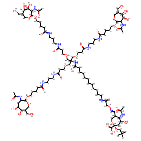 CC(=O)NC1CC(O)[C@H](O)C(CO)CO[C@@H]1OCCCCC(=O)NCCCNC(=O)CCOCC(COCCC(=O)NCCCNC(=O)CCCCO[C@H]1OCC(CO)[C@@H](O)[C@@H](O)C1NC(C)=O)(COCCC(=O)NCCCNC(=O)CCCCO[C@H]1OCC(CO)[C@@](C)(O)C(O)[C@H]1NC(C)=O)NC(=O)CCCCCCCCCCCNC(=O)CON=CC1CO[C@@](OCC(C)(C)C)(C(=O)O)C[C@H](O)[C@@H]1NC(C)=O